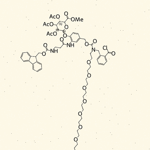 COCCOCCOCCOCCOCCOCCOCCOCCN(Cc1ccccc1C(=O)Cl)C(=O)OCc1ccc(O[C@@H]2OC(C(=O)OC)[C@@H](OC(C)=O)C(OC(C)=O)[C@H]2OC(C)=O)c(NC(=O)CCNC(=O)OCC2c3ccccc3-c3ccccc32)c1